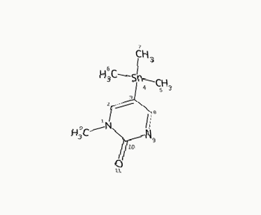 Cn1c[c]([Sn]([CH3])([CH3])[CH3])cnc1=O